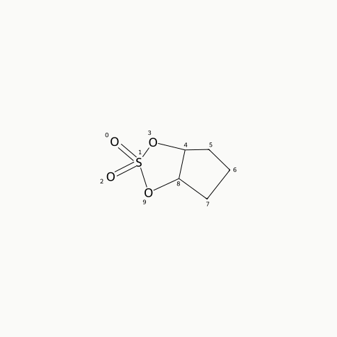 O=S1(=O)OC2CCCC2O1